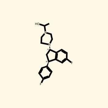 CC(O)N1CCN([C@H]2C[C@H](c3ccc(F)cc3)c3cc(F)ccc32)CC1